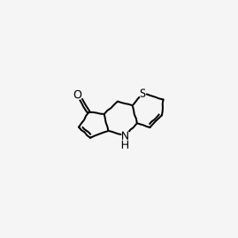 O=C1C=CC2NC3C=CCSC3CC12